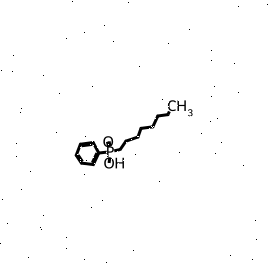 CCCCCCCCP(=O)(O)c1ccccc1